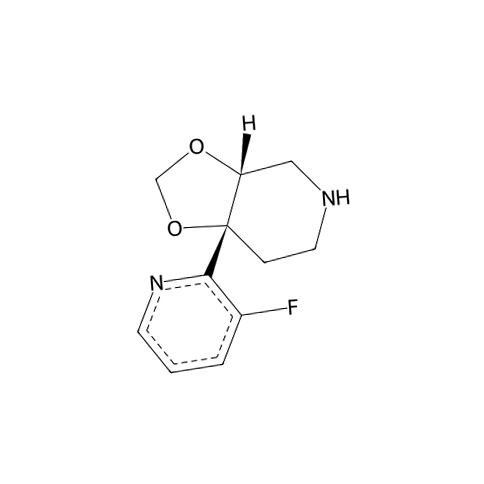 Fc1cccnc1[C@]12CCNC[C@H]1OCO2